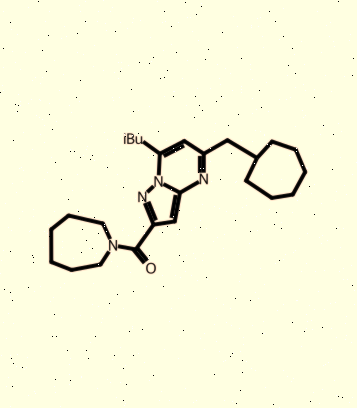 CCC(C)c1cc(CC2CCCCCC2)nc2cc(C(=O)N3CCCCCC3)nn12